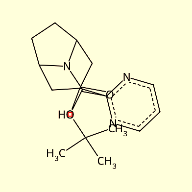 CC(C)(C)OC(=O)N1C2CCC1CC(O)(c1ncccn1)C2